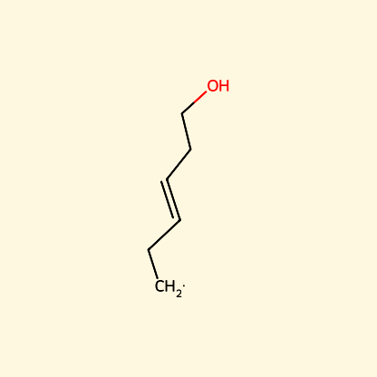 [CH2]CC=CCCO